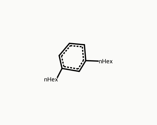 CCCCCCc1cccc(CCCCCC)c1